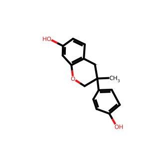 CC1(c2ccc(O)cc2)[CH]c2ccc(O)cc2OC1